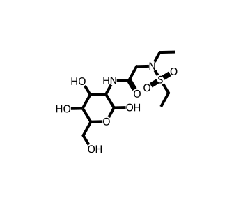 CCN(CC(=O)NC1C(O)OC(CO)C(O)C1O)S(=O)(=O)CC